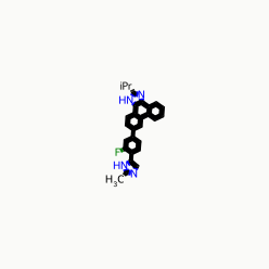 Cc1ncc(-c2ccc(-c3ccc4c(c3)c3ccccc3c3nc(C(C)C)[nH]c43)cc2F)[nH]1